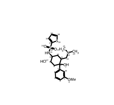 COc1cccc(C2(O)CCC(NS(=O)(=O)c3cccs3)CC2CN(C)C)c1.Cl